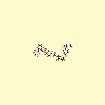 NC(=O)C1CCN(Cc2ccc(C(=O)NCCN3CCC(OC(=O)Nc4ccccc4-c4ccccc4)CC3)s2)CC1